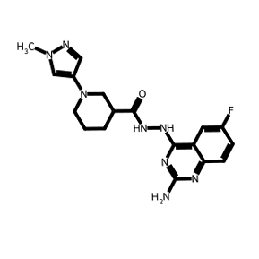 Cn1cc(N2CCCC(C(=O)NNc3nc(N)nc4ccc(F)cc34)C2)cn1